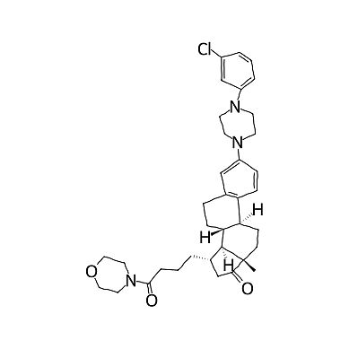 C[C@]12CC[C@@H]3c4ccc(N5CCN(c6cccc(Cl)c6)CC5)cc4CC[C@H]3[C@@H]1[C@@H](CCCC(=O)N1CCOCC1)CC2=O